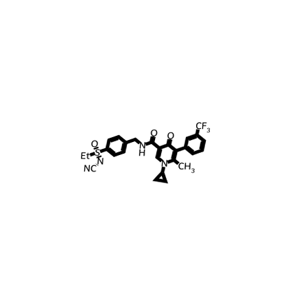 CCS(=O)(=NC#N)c1ccc(CNC(=O)c2cn(C3CC3)c(C)c(-c3cccc(C(F)(F)F)c3)c2=O)cc1